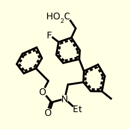 CCN(Cc1cc(C)ccc1-c1ccc(F)c(CC(=O)O)c1)C(=O)OCc1ccccc1